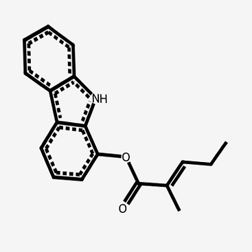 CCC=C(C)C(=O)Oc1cccc2c1[nH]c1ccccc12